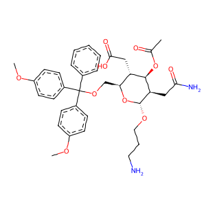 COc1ccc(C(OC[C@@H]2O[C@@H](OCCCN)[C@H](CC(N)=O)[C@H](OC(C)=O)[C@H]2CC(=O)O)(c2ccccc2)c2ccc(OC)cc2)cc1